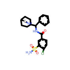 NS(=O)(=O)c1cc(C(=O)NC(c2ccccc2)C23CCC(CC2)CN3)ccc1Cl